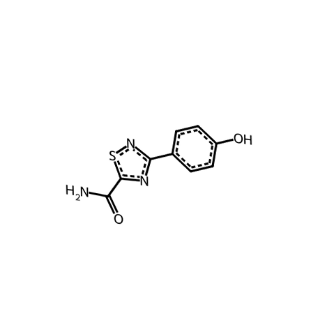 NC(=O)c1nc(-c2ccc(O)cc2)ns1